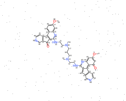 COC1=CC(=O)c2c3c(c(NCCN(C)CCCN(C)CCNc4nc5cc(OC)ccc5c5c4C(=O)c4cnccc4-5)nc2=C1)=Cc1cnccc1-3